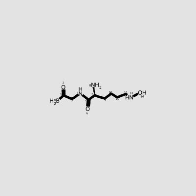 BC(=O)CNC(=O)[C@@H](N)CCCCNO